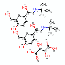 CC(C)(C)NC[C@H](O)c1ccc(O)c(CO)c1.CC(C)(C)NC[C@H](O)c1ccc(O)c(CO)c1.O=C(O)C(O)C(O)C(=O)O